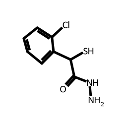 NNC(=O)C(S)c1ccccc1Cl